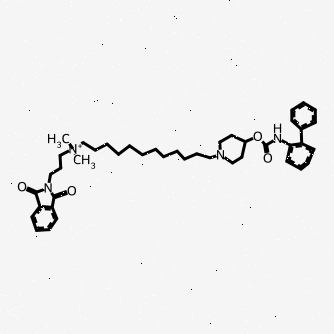 C[N+](C)(CCCCCCCCCCCCN1CCC(OC(=O)Nc2ccccc2-c2ccccc2)CC1)CCCN1C(=O)c2ccccc2C1=O